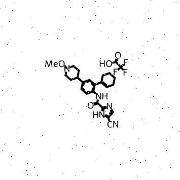 CON1CCC(c2ccc(NC(=O)c3ncc(C#N)[nH]3)c(C3=CCCCC3)c2)CC1.O=C(O)C(F)(F)F